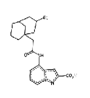 CCC1CC2CCCC(CC(=O)Nc3cccn4nc(C(=O)O)cc34)(C1)C2